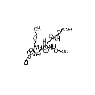 O=C(CC[C@H](NC(=O)CC[C@H](NC(=O)OCc1ccccc1)C(=O)NCCOCCO)C(=O)NCCOCCO)NCCOCCO